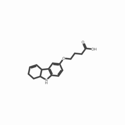 O=C(O)CCCOc1ccc2c(c1)C1C=CCCC1N2